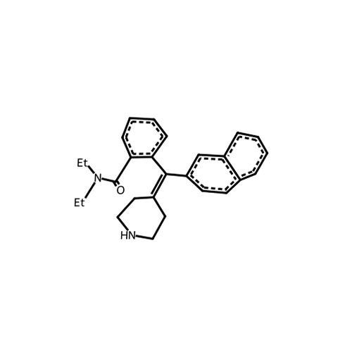 CCN(CC)C(=O)c1ccccc1C(=C1CCNCC1)c1ccc2ccccc2c1